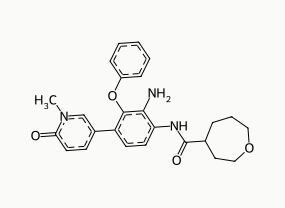 Cn1cc(-c2ccc(NC(=O)C3CCCOCC3)c(N)c2Oc2ccccc2)ccc1=O